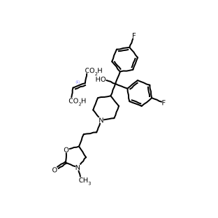 CN1CC(CCN2CCC(C(O)(c3ccc(F)cc3)c3ccc(F)cc3)CC2)OC1=O.O=C(O)/C=C/C(=O)O